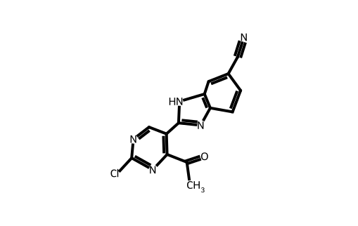 CC(=O)c1nc(Cl)ncc1-c1nc2ccc(C#N)cc2[nH]1